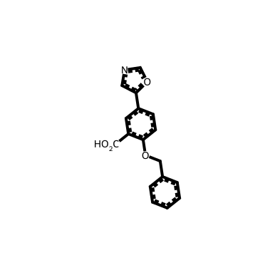 O=C(O)c1cc(-c2cnco2)ccc1OCc1ccccc1